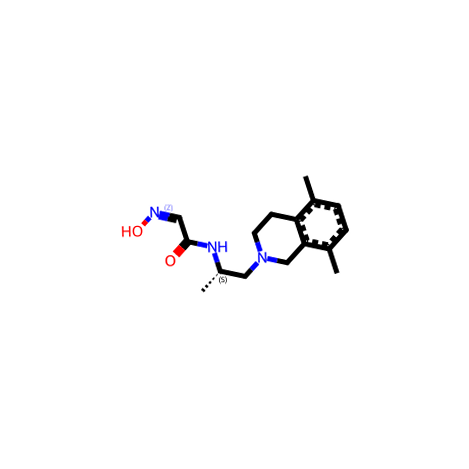 Cc1ccc(C)c2c1CCN(C[C@H](C)NC(=O)/C=N\O)C2